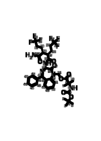 CC(C)(C)OC(=O)NC(C)(C)C(=O)OCN1C(=O)[C@@H](NC(=O)[C@H](CCC(F)(F)F)[C@H](CCC(F)(F)F)C(N)=O)N=C(c2ccccc2)c2ccccc21